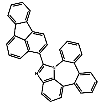 c1ccc2c(c1)-c1ccccc1-n1c(-c3ccc4c5c(cccc35)-c3ccccc3-4)nc3cccc-2c31